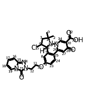 CC1(C)CC(Cl)[C@H]2c3cc(OCCn4nc5ccccn5c4=O)ccc3-c3cc(=O)c(C(=O)O)cn3N21